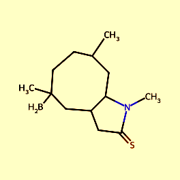 BC1(C)CCC(C)CC2C(CC(=S)N2C)C1